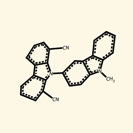 Cn1c2ccccc2c2cc(-n3c4c(C#N)cccc4c4cccc(C#N)c43)ccc21